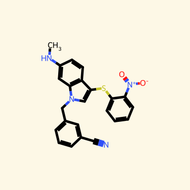 CNc1ccc2c(Sc3ccccc3[N+](=O)[O-])cn(Cc3cccc(C#N)c3)c2c1